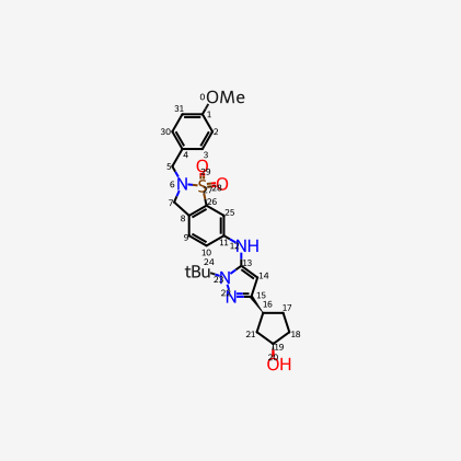 COc1ccc(CN2Cc3ccc(Nc4cc([C@H]5CC[C@@H](O)C5)nn4C(C)(C)C)cc3S2(=O)=O)cc1